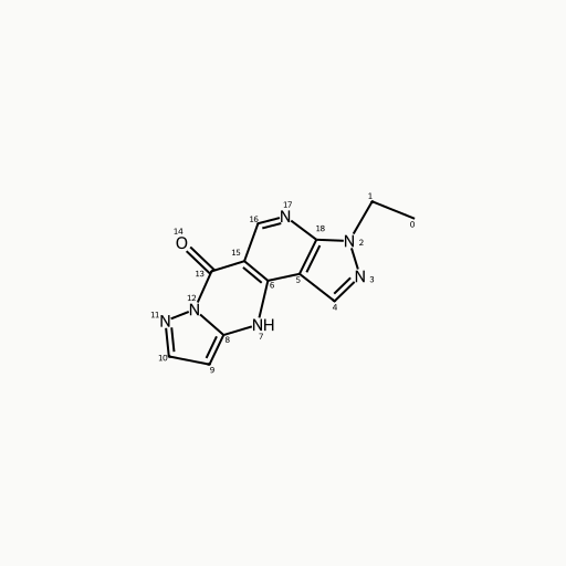 CCn1ncc2c3[nH]c4ccnn4c(=O)c3cnc21